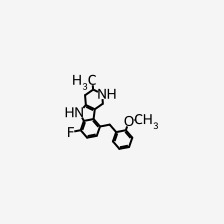 COc1ccccc1Cc1ccc(F)c2[nH]c3c(c12)CNC(C)C3